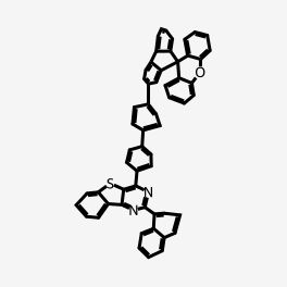 c1ccc2c(c1)Oc1ccccc1C21c2ccccc2-c2ccc(-c3ccc(-c4ccc(-c5nc(-c6cccc7ccccc67)nc6c5sc5ccccc56)cc4)cc3)cc21